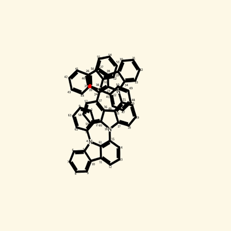 c1ccc(-n2c3ccccc3c3cccc(-n4c5cccc(-n6c7ccccc7c7ccccc76)c5c5c([Si](c6ccccc6)(c6ccccc6)c6ccccc6)cccc54)c32)cc1